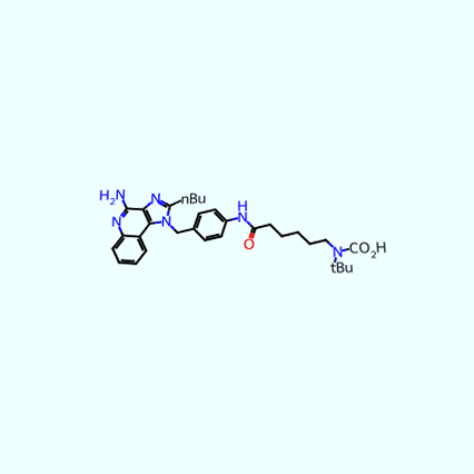 CCCCc1nc2c(N)nc3ccccc3c2n1Cc1ccc(NC(=O)CCCCCN(C(=O)O)C(C)(C)C)cc1